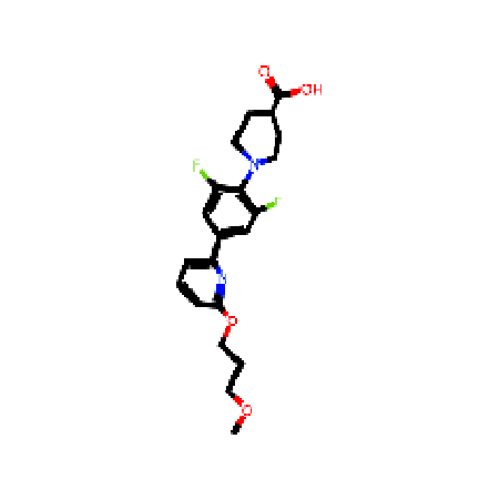 COCCCOc1cccc(-c2cc(F)c(N3CCC(C(=O)O)CC3)c(F)c2)n1